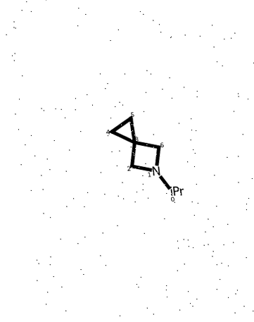 CC(C)N1CC2(CC2)C1